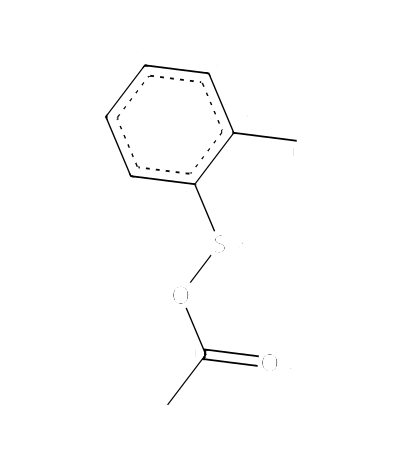 CC(=O)OSc1ccccc1C